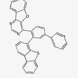 c1ccc(-c2ccc(-c3ncnc4c3oc3ccccc34)c(-c3cccc4c3sc3ccccc34)c2)cc1